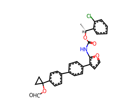 C[C@@H](OC(=O)Nc1occc1-c1ccc(-c2ccc(C3(OC=O)CC3)cc2)cc1)c1ccccc1Cl